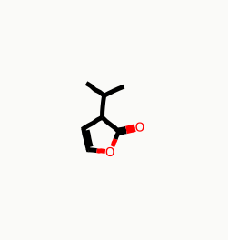 CC(C)C1C=COC1=O